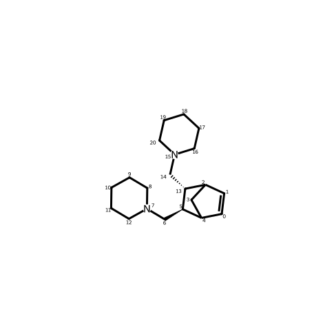 C1=CC2CC1[C@@H](CN1CCCCC1)[C@@H]2CN1CCCCC1